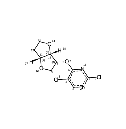 Clc1ncc(Cl)c(O[C@@H]2CO[C@@H]3CCO[C@@H]32)n1